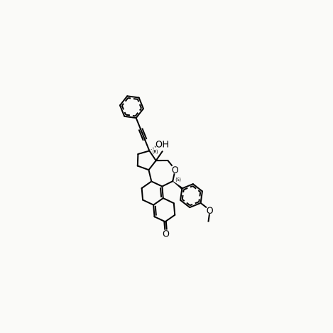 COc1ccc([C@@H]2OCC3(C)C(CC[C@@]3(O)C#Cc3ccccc3)C3CCC4=CC(=O)CCC4=C32)cc1